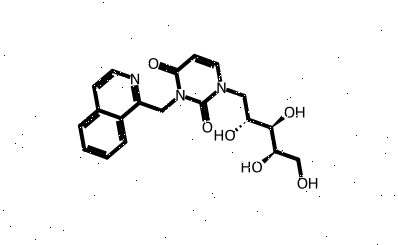 O=c1ccn(C[C@@H](O)[C@@H](O)[C@H](O)CO)c(=O)n1Cc1nccc2ccccc12